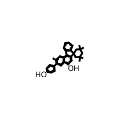 Cc1cc2c3c(cc(O)c2cc1-c1ccc(O)cc1)C1(CC(C)(C)CC(C)(C)C1)c1ccccc1-3